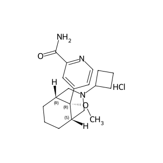 CO[C@@]1(c2ccnc(C(N)=O)c2)[C@@H]2CCC[C@H]1CN(C1CCC1)C2.Cl